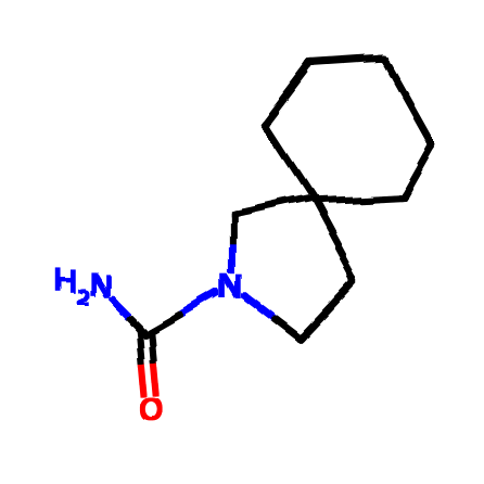 NC(=O)N1CCC2(CCCCC2)C1